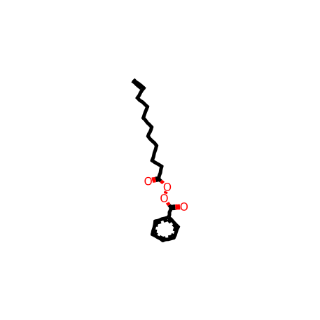 C=CCCCCCCCCC(=O)OOC(=O)c1ccccc1